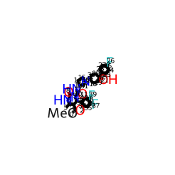 COC(=O)C1=C(C)NC(=O)N(C(=O)N[C@@H]2CCN(C3CCC(O)(c4ccc(F)cc4)CC3)C2)[C@H]1c1ccc(F)c(F)c1